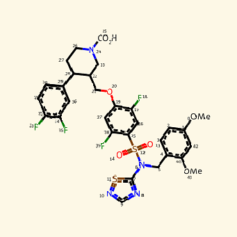 COc1ccc(CN(c2ncns2)S(=O)(=O)c2cc(F)c(OCC3CN(C(=O)O)CCC3c3ccc(F)c(F)c3)cc2F)c(OC)c1